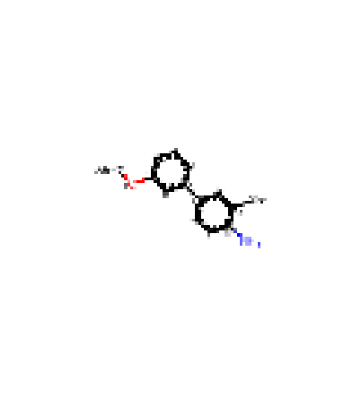 COOc1cccc(-c2ccc(N)c(C(C)C)c2)c1